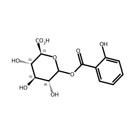 O=C(OC1O[C@H](C(=O)O)[C@@H](O)[C@H](O)[C@H]1O)c1ccccc1O